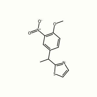 COc1ccc(C(C)c2nccs2)cc1[N+](=O)[O-]